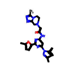 Cc1cc(C)n(-c2cc(NC(=O)CN3CCn4c(nnc4C(F)(F)F)C3)nc(-c3ccc(C)o3)n2)n1